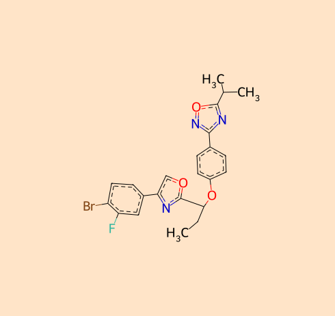 CCC(Oc1ccc(-c2noc(C(C)C)n2)cc1)c1nc(-c2ccc(Br)c(F)c2)co1